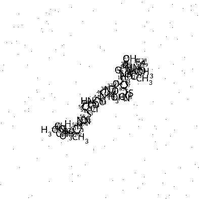 Cc1ncsc1-c1ccc(CNC(=O)[C@@H]2C[C@@H](O)CN2C(=O)[C@@H](NC(=O)C2(F)CC2)C(C)(C)C)c(OCCN2CCN(C(=O)CC(=O)Nc3cccc(Sc4cnc(N5CCC(C)(CNC(=O)OC(C)(C)C)CC5)cn4)c3Cl)C[C@H]2C(=O)O)c1